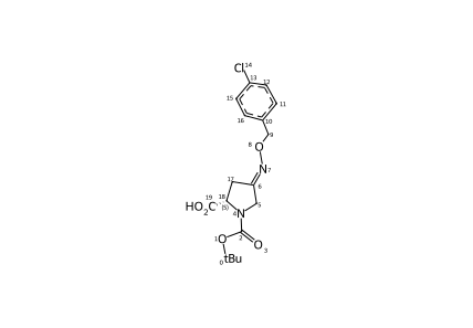 CC(C)(C)OC(=O)N1CC(=NOCc2ccc(Cl)cc2)C[C@H]1C(=O)O